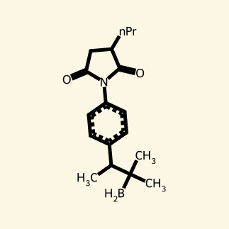 BC(C)(C)C(C)c1ccc(N2C(=O)CC(CCC)C2=O)cc1